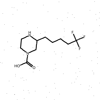 O=C(O)N1CCNC(CCCCC(F)(F)F)C1